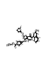 CN1CCC[C@H]1COc1nc(NC2C3CN(C(=O)OC(C)(C)C)CC32)c2cnc(-c3cc(O)cc4ccccc34)c(F)c2n1